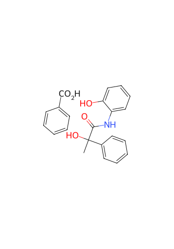 CC(O)(C(=O)Nc1ccccc1O)c1ccccc1.O=C(O)c1ccccc1